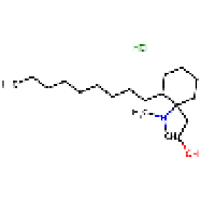 CCCCCCCCCC1CCCCC1(CCO)N(C)C.Cl